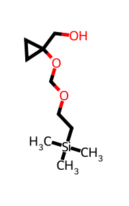 C[Si](C)(C)CCOCOC1(CO)CC1